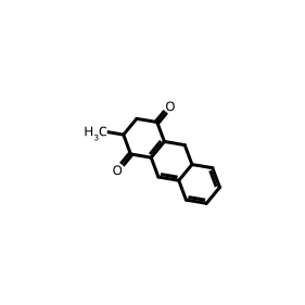 CC1CC(=O)C2=C(C=C3C=CC=CC3C2)C1=O